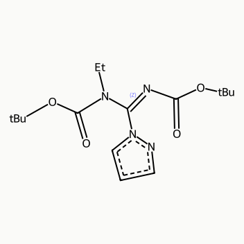 CCN(C(=O)OC(C)(C)C)/C(=N/C(=O)OC(C)(C)C)n1cccn1